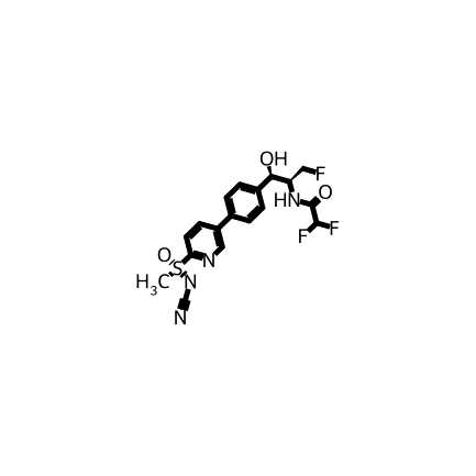 CS(=O)(=NC#N)c1ccc(-c2ccc([C@@H](O)[C@@H](CF)NC(=O)C(F)F)cc2)cn1